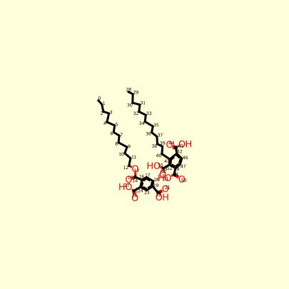 CCCCCCCCCCCCCOC(=O)c1ccc(C(=O)O)cc1C(=O)O.CCCCCCCCCCCCCc1c(C(=O)O)ccc(C(=O)O)c1C(=O)O